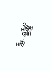 Cc1ccc(CC(=O)NC(CCNC(=O)CCCCc2ccc3c(n2)NCCC3)C(=O)O)cc1